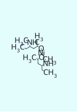 CCC(CC(C)[O][Ni][O]C(C)CC(CC)NC)NC